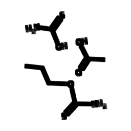 CC(=O)O.CCCOC(N)=S.NC(O)=S